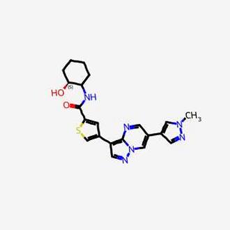 Cn1cc(-c2cnc3c(-c4csc(C(=O)NC5CCCC[C@@H]5O)c4)cnn3c2)cn1